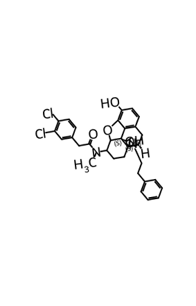 CN(C(=O)Cc1ccc(Cl)c(Cl)c1)C1CC[C@@]2(O)[C@H]3Cc4ccc(O)c5c4[C@@]2(CCN3CCc2ccccc2)C1O5